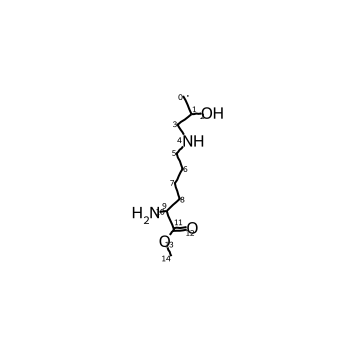 [CH2]C(O)CNCCCCC(N)C(=O)OC